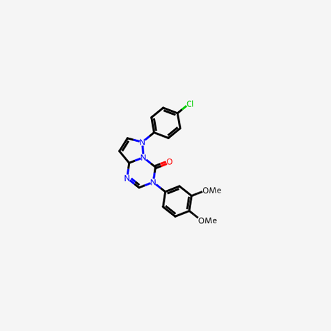 COc1ccc(N2C=NC3C=CN(c4ccc(Cl)cc4)N3C2=O)cc1OC